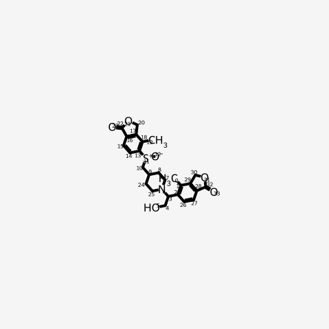 Cc1c(C(CO)N2CCC(C[S+]([O-])c3ccc4c(c3C)COC4=O)CC2)ccc2c1COC2=O